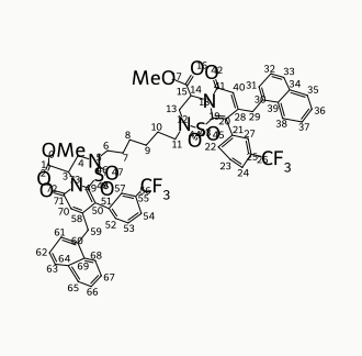 COC(=O)C1CN(CCCCCCN2CC(C(=O)OC)n3c(c(-c4cccc(C(F)(F)F)c4)c(Cc4cccc5ccccc45)cc3=O)S2(=O)=O)S(=O)(=O)c2c(-c3cccc(C(F)(F)F)c3)c(Cc3cccc4ccccc34)cc(=O)n21